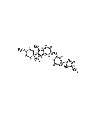 CCn1c(C2(N)C=CC(C(F)(F)F)=CC2)nc2cc(Oc3ccnc(-c4ncc(C(F)(F)F)[nH]4)c3)ccc21